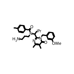 COc1cccc(Cn2c(C(C(C)C)N(CCCN)C(=O)c3ccc(C)cc3)nc(C)c(C)c2=O)c1